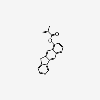 C=C(C)C(=O)Oc1cccc2cc3c(cc12)Cc1ccccc1-3